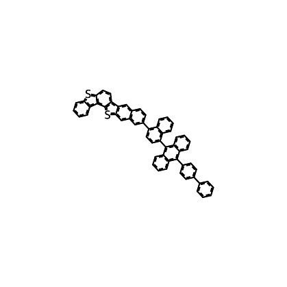 c1ccc(-c2ccc(-c3c4ccccc4c(-c4ccc(-c5ccc6cc7c(cc6c5)sc5c7ccc6sc7ccccc7c65)c5ccccc45)c4ccccc34)cc2)cc1